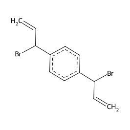 C=CC(Br)c1ccc(C(Br)C=C)cc1